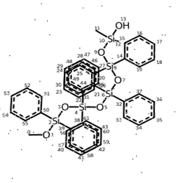 CO[Si](O[Si](O[Si](O[Si](O[Si](C)(C)O)(c1ccccc1)c1ccccc1)(c1ccccc1)c1ccccc1)(c1ccccc1)c1ccccc1)(c1ccccc1)c1ccccc1